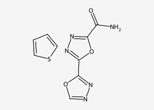 NC(=O)c1nnc(-c2nnco2)o1.c1ccsc1